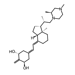 C=C1[C@H](O)CC(=C/C=C2\CCC[C@]3(C)[C@@H]([C@H](C)CN4CCN(C)C[C@@H]4C)CC[C@@H]23)C[C@H]1O